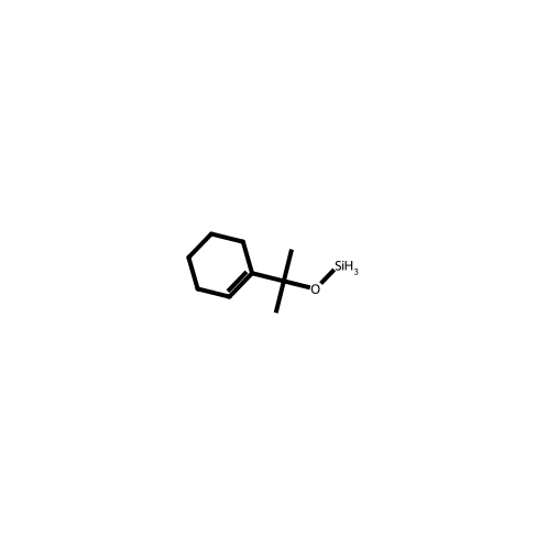 CC(C)(O[SiH3])C1=CCCCC1